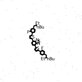 CCCCC(CC)Cc1ccc(-c2ccc(-c3ccc(-c4ccc(-c5ccc(CC(CC)CCCC)cc5F)s4)c4nsnc34)s2)c(F)c1